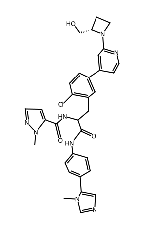 Cn1cncc1-c1ccc(NC(=O)C(Cc2cc(-c3ccnc(N4CC[C@H]4CO)c3)ccc2Cl)NC(=O)c2ccnn2C)cc1